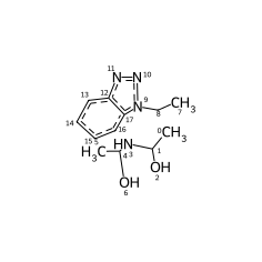 CC(O)NC(C)O.CCn1nnc2ccccc21